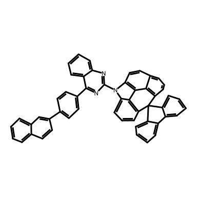 c1ccc2c(c1)-c1ccccc1C21c2cccc3ccc4c(c23)c2c1cccc2n4-c1nc(-c2ccc(-c3ccc4ccccc4c3)cc2)c2ccccc2n1